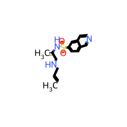 CC=CCNC[C@H](C)NS(=O)(=O)c1ccc2cnccc2c1